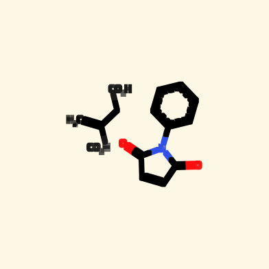 C=C(CC(=O)O)C(=O)O.O=C1C=CC(=O)N1c1ccccc1